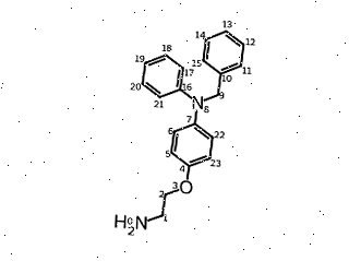 NCCOc1ccc(N(Cc2ccccc2)c2ccccc2)cc1